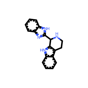 c1ccc2[nH]c(C3NCCc4c3[nH]c3ccccc43)nc2c1